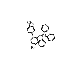 FC(F)(F)c1ccc(-c2ccccc2C[P+](c2ccccc2)(c2ccccc2)c2ccccc2)cc1.[Br-]